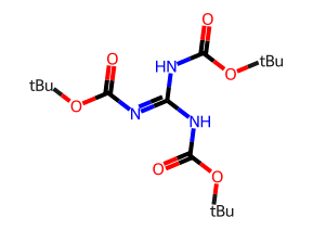 CC(C)(C)OC(=O)N=C(NC(=O)OC(C)(C)C)NC(=O)OC(C)(C)C